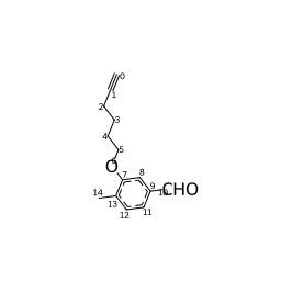 C#CCCCCOc1cc(C=O)ccc1C